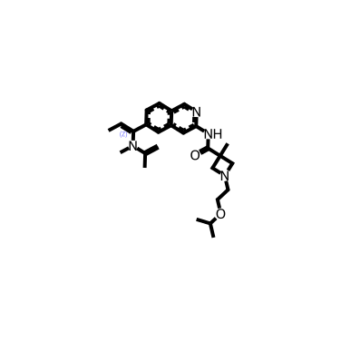 C=C(C)N(C)/C(=C\C)c1ccc2cnc(NC(=O)C3(C)CN(CCOC(C)C)C3)cc2c1